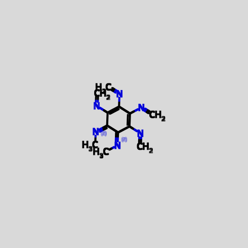 C=NC1=C(N=C)C(=N/C)/C(=N\C)C(N=C)=C1N=C